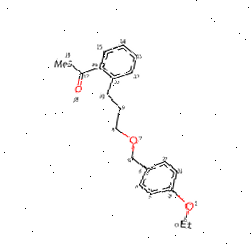 CCOc1ccc(COCCCc2ccccc2C(=O)SC)cc1